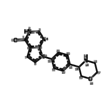 O=c1[nH]cnc2c1ccn2-c1ccc(C2COCCN2)cc1